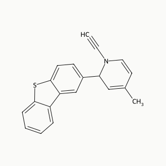 C#CN1C=CC(C)=CC1c1ccc2sc3ccccc3c2c1